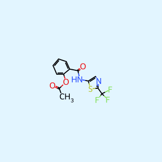 CC(=O)Oc1ccccc1C(=O)Nc1cnc(C(F)(F)F)s1